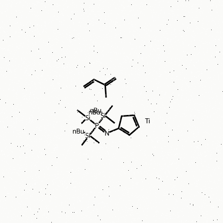 C=CC(=C)C.CCCC[Si](C)(C)P(=NC1=CC=CC1)([Si](C)(C)CCCC)[Si](C)(C)CCCC.[Ti]